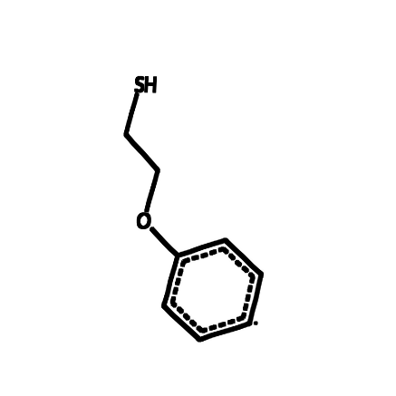 SCCOc1cc[c]cc1